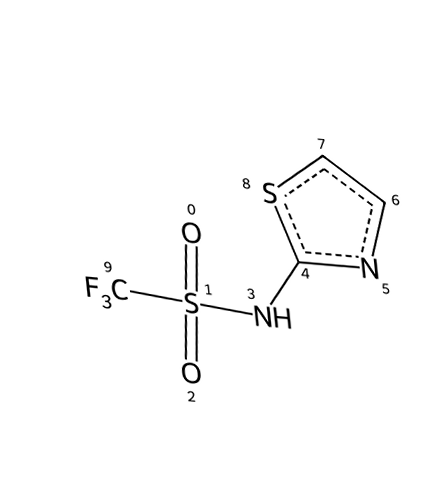 O=S(=O)(Nc1nccs1)C(F)(F)F